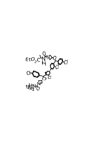 CCOC(=O)C(C)NC(=O)N1CC(OC(c2ccc(Cl)cc2)c2ccc(-c3ccc(C(OC4CN(C(=O)NC(C)(C)C)C4)c4ccc(Cl)cc4)c(Cl)c3)cc2Cl)C1